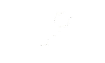 FC(F)O[B]c1ccccc1.O.O